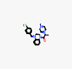 CC(C(=O)N1CCN(Cc2ccc(Cl)cc2)c2ccccc21)N1CCN(C)CC1